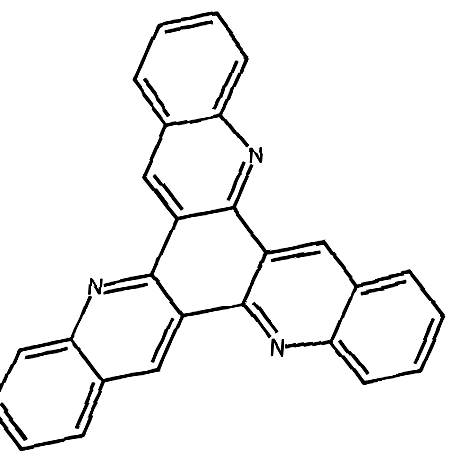 c1ccc2nc3c4cc5ccccc5nc4c4cc5ccccc5nc4c3cc2c1